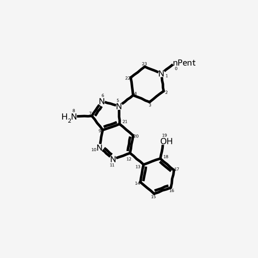 CCCCCN1CCC(n2nc(N)c3nnc(-c4ccccc4O)cc32)CC1